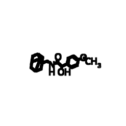 COc1ccc(C(O)C(=O)NCC23CC4CC(CC(C4)C2)C3)cc1